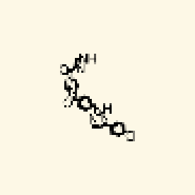 O=C(c1ccc(Nc2nccc(-c3ccc(Cl)cc3)n2)cc1)N1CCN(C(=O)c2c[nH]cn2)CC1